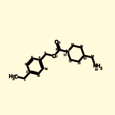 CCc1ccc(COC(=O)N2CCC(CN)CC2)cc1